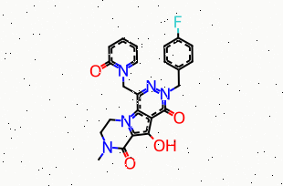 CN1CCn2c(c(O)c3c(=O)n(Cc4ccc(F)cc4)nc(Cn4ccccc4=O)c32)C1=O